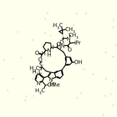 CCn1c(-c2cccnc2[C@H](C)OC)c2c3cc(ccc31)-c1cc(O)cc(c1)C[C@H](NC(=O)C(C(C)C)N(C)C(=O)[C@@H]1CC1(C)C)C(=O)N1CCC[C@H](N1)C(=O)OCC(C)(C)C2